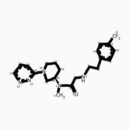 CN(C(=O)CNCCc1ccc(C(F)(F)F)cc1)[C@@H]1CCCN(c2cccnn2)C1